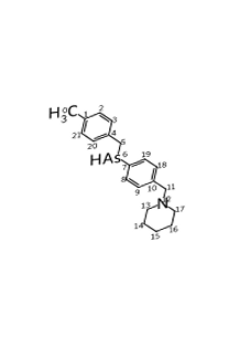 Cc1ccc(C[AsH]c2ccc(CN3CCCCC3)cc2)cc1